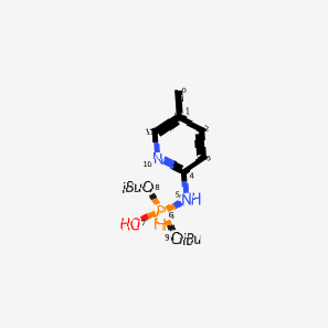 Cc1ccc(N[PH](O)(OCC(C)C)OCC(C)C)nc1